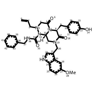 C=CCN1CC(=O)N2[C@@H](Cc3ccc(O)cc3)C(=O)N(Cc3c[nH]c4ccc(OC)cc34)C[C@@H]2N1C(=O)NCc1ccccc1